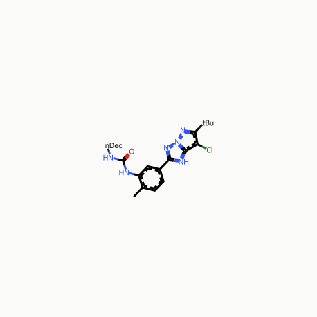 CCCCCCCCCCNC(=O)Nc1cc(-c2nn3nc(C(C)(C)C)c(Cl)c3[nH]2)ccc1C